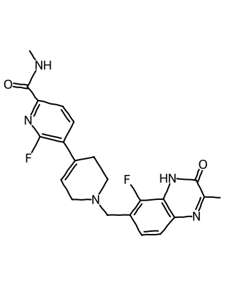 CNC(=O)c1ccc(C2=CCN(Cc3ccc4nc(C)c(=O)[nH]c4c3F)CC2)c(F)n1